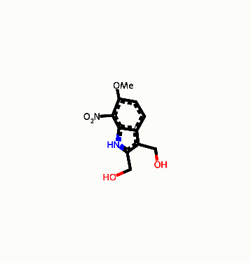 COc1ccc2c(CO)c(CO)[nH]c2c1[N+](=O)[O-]